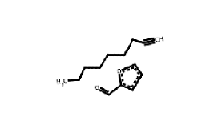 C#CCCCCCCC.O=Cc1ccco1